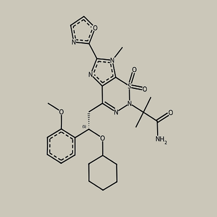 COc1ccccc1[C@H](CC1=NN(C(C)(C)C(N)=O)S(=O)(=O)c2c1nc(-c1ncco1)n2C)OC1CCCCC1